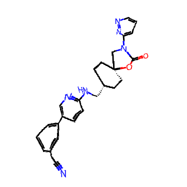 N#Cc1cccc(-c2ccc(NC[C@H]3CC[C@]4(CC3)CN(c3cccnn3)C(=O)O4)nc2)c1